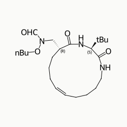 CCCCON(C=O)C[C@H]1CCCC=CCCCCNC(=O)[C@H](C(C)(C)C)NC1=O